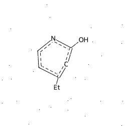 CCc1ccnc(O)c1